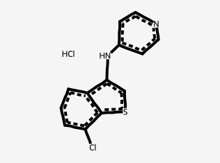 Cl.Clc1cccc2c(Nc3ccncc3)csc12